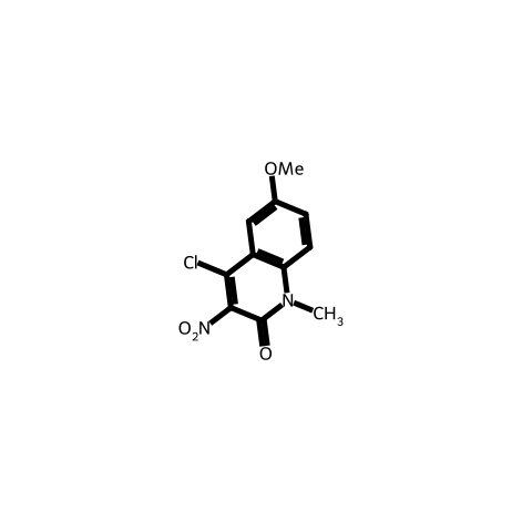 COc1ccc2c(c1)c(Cl)c([N+](=O)[O-])c(=O)n2C